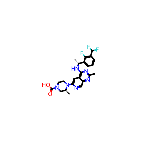 Cc1nc(N[C@H](C)c2cccc(C(F)F)c2F)c2cc(N3CCN(C(=O)O)C[C@@H]3C)ncc2n1